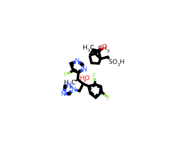 CC1(C)C2CCC1(CS(=O)(=O)O)C(=O)C2.C[C@@H](c1ncncc1F)[C@](O)(Cn1cncn1)c1ccc(F)cc1F